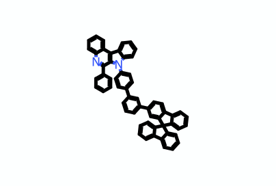 c1ccc(-c2nc3ccccc3c3c4ccccc4n(-c4ccc(-c5cccc(-c6ccc7c(c6)C6(c8ccccc8-c8ccccc86)c6ccccc6-7)c5)cc4)c23)cc1